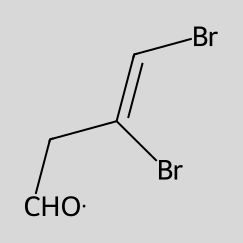 O=[C]C/C(Br)=C/Br